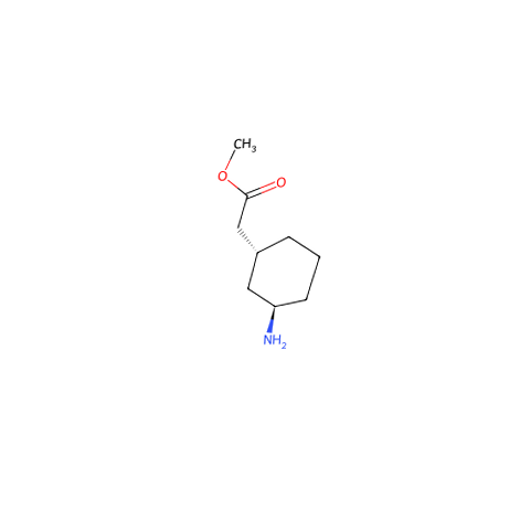 COC(=O)C[C@@H]1CCC[C@@H](N)C1